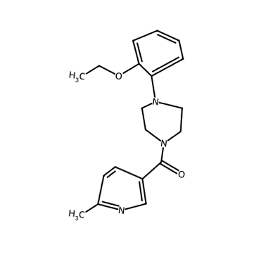 CCOc1ccccc1N1CCN(C(=O)c2ccc(C)nc2)CC1